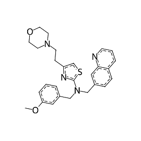 COc1cccc(CN(Cc2ccc3cccnc3c2)c2nc(CCN3CCOCC3)cs2)c1